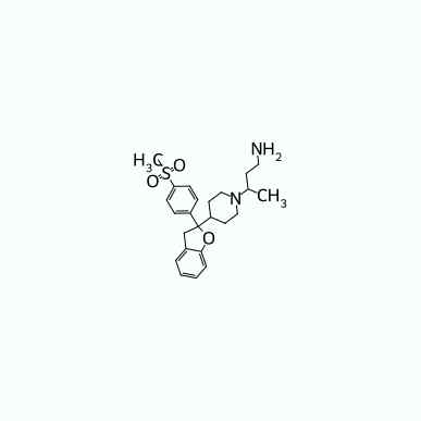 CC(CCN)N1CCC(C2(c3ccc(S(C)(=O)=O)cc3)Cc3ccccc3O2)CC1